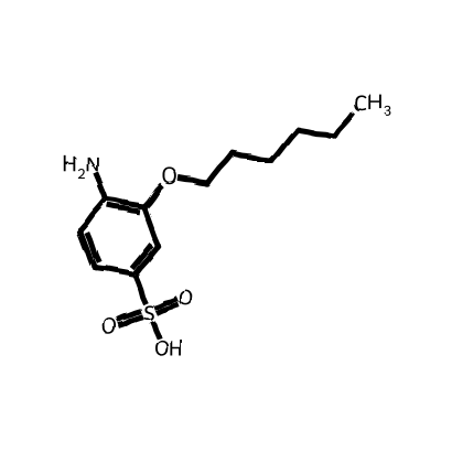 CCCCCCOc1cc(S(=O)(=O)O)ccc1N